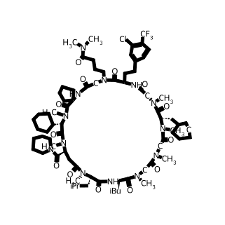 CC[C@H](C)[C@@H]1NC(=O)[C@H](CC(C)C)N(C)C(=O)C[C@@H](C(=O)N2CCCCC2)N(C)C(=O)[C@H](C2CCCCC2)N(C)C(=O)C2(CCCC2)NC(=O)CN(CCCC(=O)N(C)C)C(=O)C(CCc2ccc(C(F)(F)F)c(Cl)c2)NC(=O)CN(C)C(=O)[C@H](CC2CCCCC2)N(C)C(=O)CN(C)C(=O)CN(C)C1=O